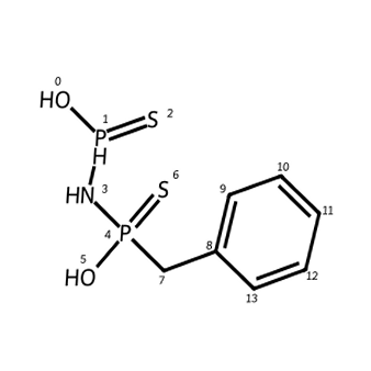 O[PH](=S)NP(O)(=S)Cc1ccccc1